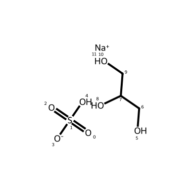 O=S(=O)([O-])O.OCC(O)CO.[Na+]